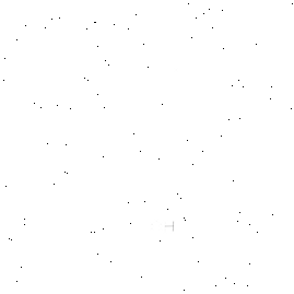 C=CC=C/C=C\CCCC(O)CCCC